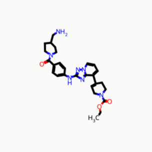 CCOC(=O)N1CC=C(c2cccn3nc(Nc4ccc(C(=O)N5CCC(CN)CC5)cc4)nc23)CC1